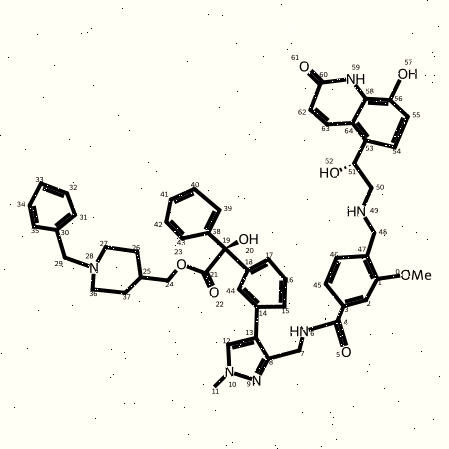 COc1cc(C(=O)NCc2nn(C)cc2-c2cccc([C@](O)(C(=O)OCC3CCN(Cc4ccccc4)CC3)c3ccccc3)c2)ccc1CNC[C@H](O)c1ccc(O)c2[nH]c(=O)ccc12